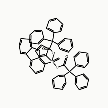 [CH2]=[Ti]([O]C(=O)C(c1ccccc1)(c1ccccc1)c1ccccc1)([O]C(=O)C(c1ccccc1)(c1ccccc1)c1ccccc1)([C]1=CC=CC1)[c]1cccc2c1Cc1ccccc1-2